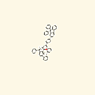 c1ccc(-c2nc3cc(-c4ccc(-c5ccc6c(c5)C(c5ccccc5)(c5ccccc5)c5ccccc5-6)cc4)ccc3c3c2ccc2c4ccccc4n(-c4ccccc4)c23)cc1